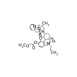 C=CCN1CC[C@]23c4c5ccc(OC(=O)COC)c4OC2C(N(CC(C)C)S(=O)(=O)Cc2ccccc2)CC[C@H]3[C@H]1C5